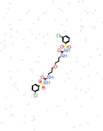 O=C(NCCCOCCCNC(=O)NS(=O)(=O)c1cccc(Cl)c1)NS(=O)(=O)c1cccc(Cl)c1